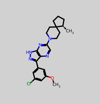 COc1cc(Cl)cc(-c2n[nH]c3nc(N4CCC5(CCC[C@H]5C)CC4)cnc23)c1